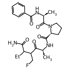 CCC(C(N)=O)C(CF)C(=O)[C@H](C)NC(=O)[C@@H]1CCCN1C(=O)[C@H](C)NC(=O)c1ccccc1